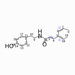 C\C=C/C(/C=C/C(=O)NCCc1ccc(O)cc1)=C\C